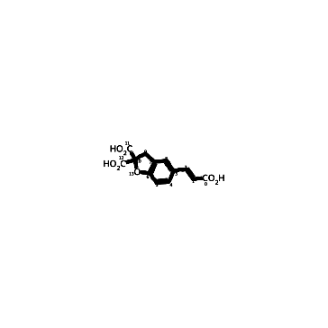 O=C(O)C=Cc1ccc2c(c1)CC(C(=O)O)(C(=O)O)O2